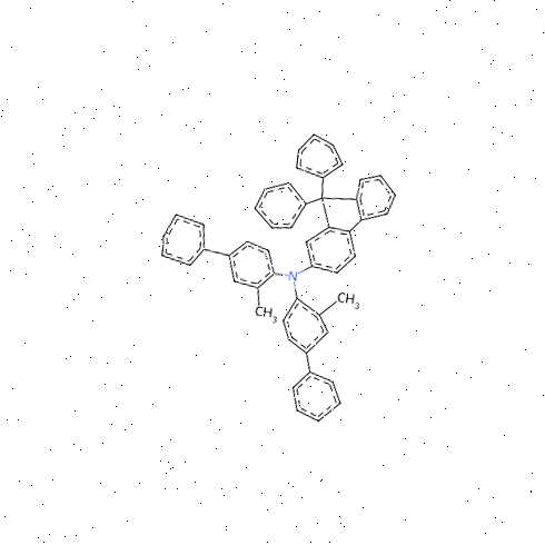 Cc1cc(-c2ccccc2)ccc1N(c1ccc2c(c1)C(c1ccccc1)(c1ccccc1)c1ccccc1-2)c1ccc(-c2ccccc2)cc1C